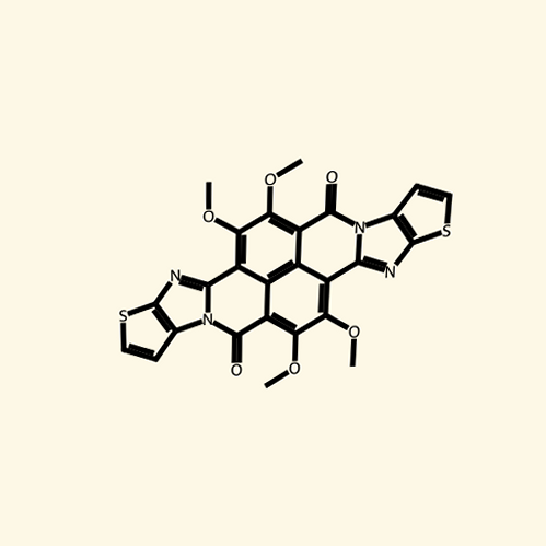 COc1c(OC)c2c3c(c(OC)c(OC)c4c3c1c(=O)n1c3ccsc3nc41)c(=O)n1c3ccsc3nc21